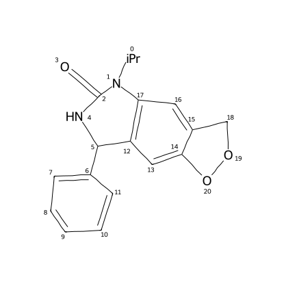 CC(C)N1C(=O)NC(c2ccccc2)c2cc3c(cc21)COO3